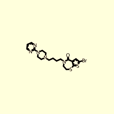 O=C1c2cc(Br)sc2SCCN1CCCCN1CCN(c2ncccn2)CC1